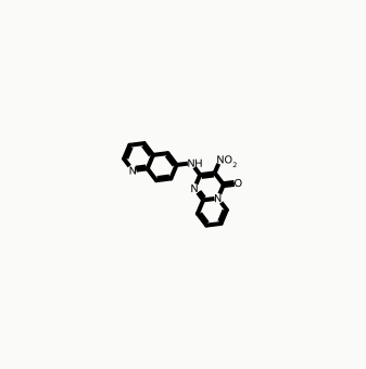 O=c1c([N+](=O)[O-])c(Nc2ccc3ncccc3c2)nc2ccccn12